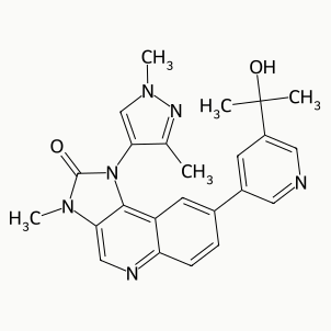 Cc1nn(C)cc1-n1c(=O)n(C)c2cnc3ccc(-c4cncc(C(C)(C)O)c4)cc3c21